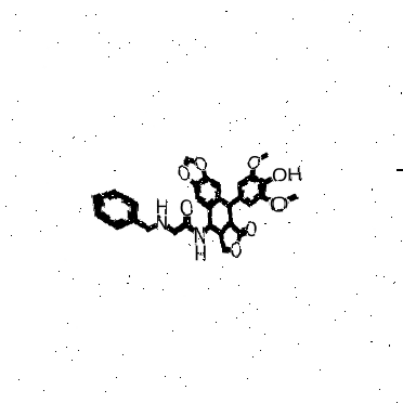 COc1cc(C2c3cc4c(cc3C(NC(=O)CNCc3ccccc3)C3COC(=O)C23)OCO4)cc(OC)c1O